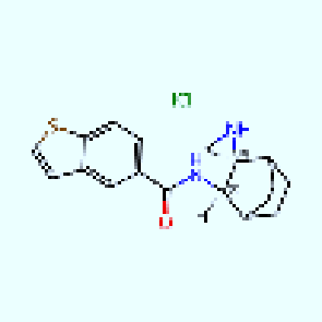 Cl.O=C(N[C@@H]1C2CCC(CC2)[C@@]12CN2)c1ccc2sccc2c1